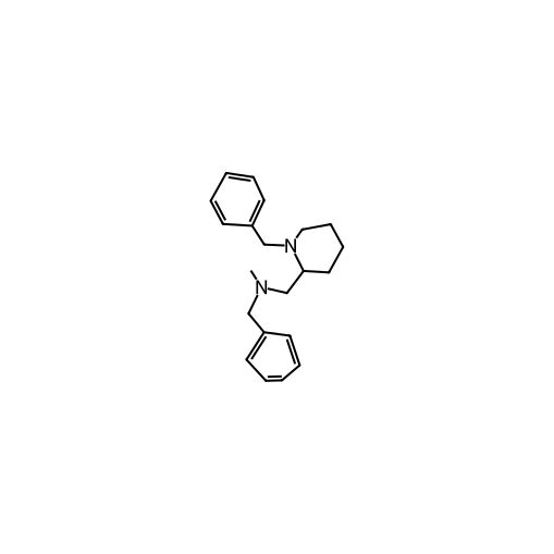 CN(Cc1ccccc1)CC1CCCCN1Cc1ccccc1